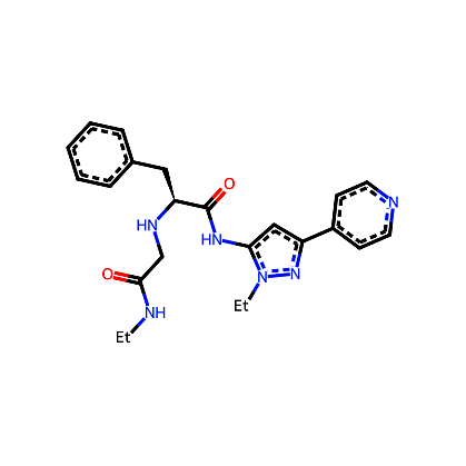 CCNC(=O)CN[C@@H](Cc1ccccc1)C(=O)Nc1cc(-c2ccncc2)nn1CC